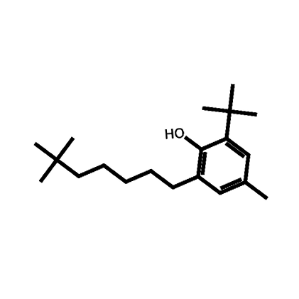 Cc1cc(CCCCCC(C)(C)C)c(O)c(C(C)(C)C)c1